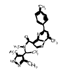 Cc1ccc(-c2cc(C(F)(F)F)n3ncc(C(=O)N(C)C(C)c4c(C)n[nH]c4C)c3n2)cc1